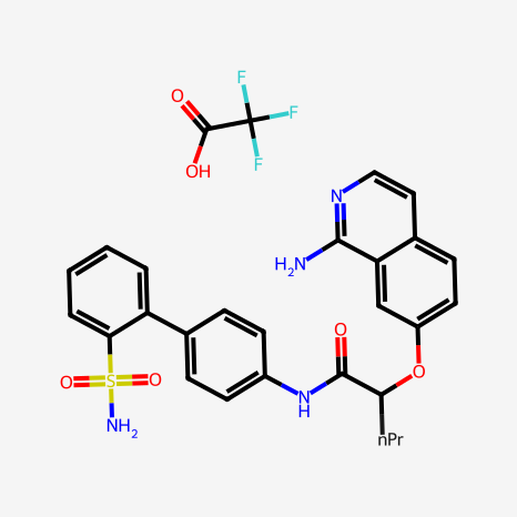 CCCC(Oc1ccc2ccnc(N)c2c1)C(=O)Nc1ccc(-c2ccccc2S(N)(=O)=O)cc1.O=C(O)C(F)(F)F